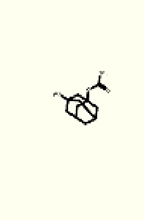 NC(=O)OC12CC3CC(CC(O)(C3)C1)C2